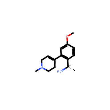 COc1ccc([C@H](C)N)c(C2=CCN(C)CC2)c1